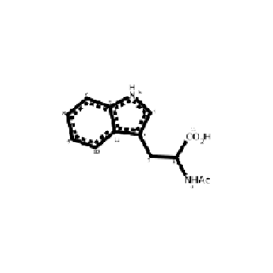 CC(=O)NC(Cc1[c][nH]c2ccccc12)C(=O)O